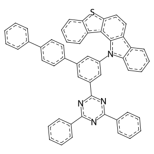 c1ccc(-c2ccc(-c3cc(-c4nc(-c5ccccc5)nc(-c5ccccc5)n4)cc(-n4c5ccccc5c5ccc6sc7ccccc7c6c54)c3)cc2)cc1